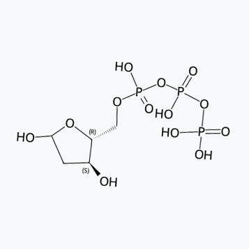 O=P(O)(O)OP(=O)(O)OP(=O)(O)OC[C@H]1OC(O)C[C@@H]1O